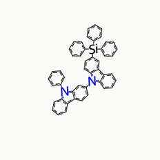 c1ccc(-n2c3ccccc3c3ccc(-n4c5ccccc5c5cc([Si](c6ccccc6)(c6ccccc6)c6ccccc6)ccc54)cc32)cc1